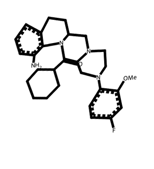 COc1cc(F)ccc1N1CCN(CC2CCc3cccc(N)c3N2C(=O)C2CCCCC2)CC1